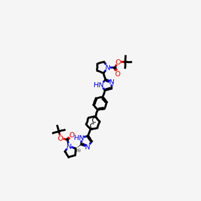 CC(C)(C)OC(=O)N1CCCC1c1ncc(-c2ccc(C34CCC(c5cnc([C@@H]6CCCN6C(=O)OC(C)(C)C)[nH]5)(CC3)CC4)cc2)[nH]1